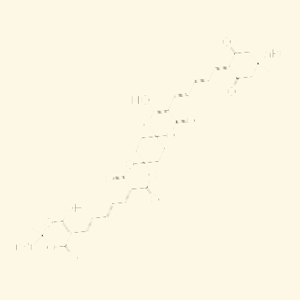 CCCC1(C)CC(=O)C(=C/C=C/C=C/C2=C(O)OC3(CCC4(CC3)OC(=O)C(=C/C=C/C=C/C3=C(O)OC(C)(CCC)OC3=O)C(=O)O4)OC2=O)C(=O)C1